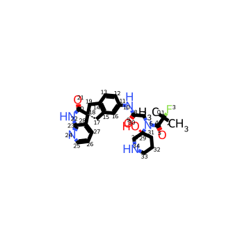 CC(C)(F)C(=O)N(CC(=O)Nc1ccc2c(c1)C[C@@]1(C2)C(=O)Nc2ncccc21)[C@]1(O)CCCNC1